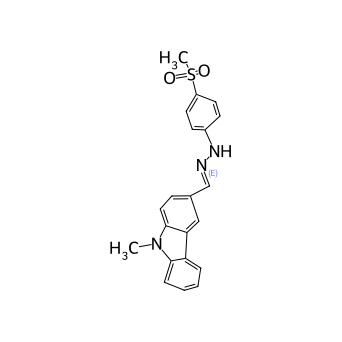 Cn1c2ccccc2c2cc(/C=N/Nc3ccc(S(C)(=O)=O)cc3)ccc21